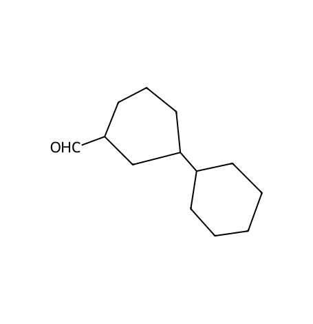 O=CC1CCCC(C2CCCCC2)C1